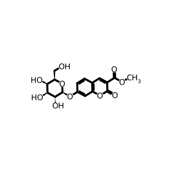 COC(=O)c1cc2ccc(O[C@@H]3O[C@H](CO)[C@H](O)[C@H](O)[C@H]3O)cc2oc1=O